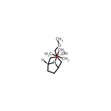 COC[C@@]1(O)CC2CC[C@H](C1)N2C(C)(C)C